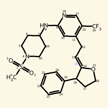 CS(=O)(=O)N1CCC(Nc2cc(C/C=C3\OCCC3c3ccccc3)c(C(F)(F)F)cn2)CC1